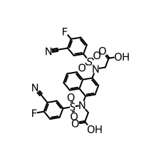 N#Cc1cc(S(=O)(=O)N(CC(=O)O)c2ccc(N(CC(=O)O)S(=O)(=O)c3ccc(F)c(C#N)c3)c3ccccc23)ccc1F